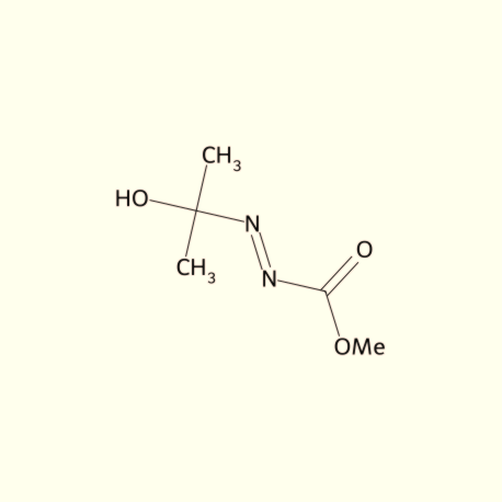 COC(=O)/N=N/C(C)(C)O